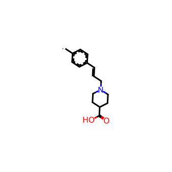 [CH2]c1ccc(C=CCN2CCC(C(=O)O)CC2)cc1